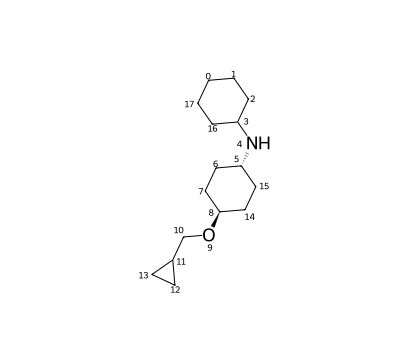 C1CCC(N[C@H]2CC[C@H](OCC3CC3)CC2)CC1